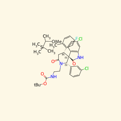 COC(C)[Si](C)(C)C.Cc1ccc(F)cc1[C@H]1CC(=O)N(CCNC(=O)OC(C)(C)C)[C@@H](c2cccc(Cl)c2)[C@]12C(=O)Nc1cc(Cl)ccc12